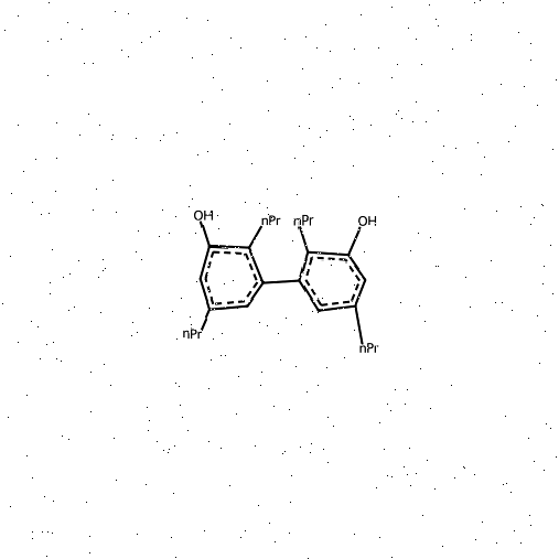 CCCc1cc(O)c(CCC)c(-c2cc(CCC)cc(O)c2CCC)c1